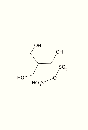 O=S(=O)(O)OS(=O)(=O)O.OCC(CO)CO